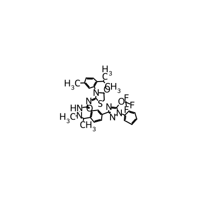 Cc1ccc(C(C)C)c(N2C(=O)CSC2=NC(=O)NN(C)C(C)c2ccc(-c3nc(OC(F)(F)F)n(-c4ccccc4)n3)cc2)c1